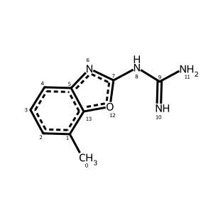 Cc1cccc2nc(NC(=N)N)oc12